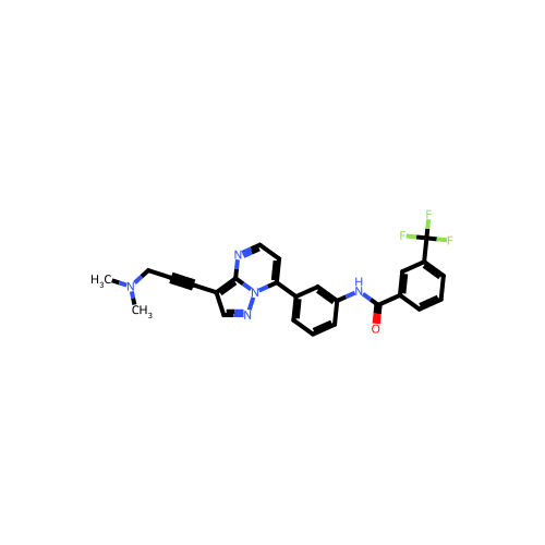 CN(C)CC#Cc1cnn2c(-c3cccc(NC(=O)c4cccc(C(F)(F)F)c4)c3)ccnc12